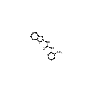 Cc1ccccc1NC(=O)Nc1cc2ccccc2s1